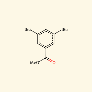 COC(=O)c1cc(C(C)(C)C)cc(C(C)(C)C)c1